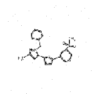 CS(=O)(=O)c1cccc(-c2ccc(-c3cc(C(F)(F)F)nn3Cc3ccccc3)s2)c1